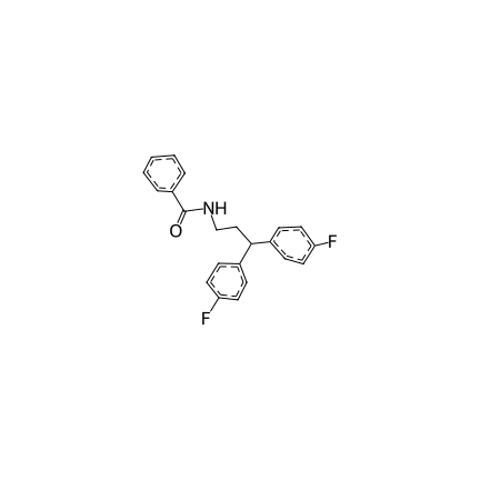 O=C(NCCC(c1ccc(F)cc1)c1ccc(F)cc1)c1ccccc1